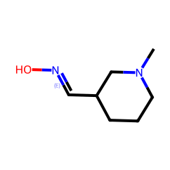 CN1CCCC(/C=N/O)C1